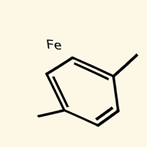 Cc1ccc(C)cc1.[Fe]